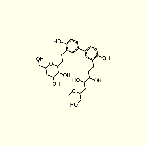 COC(CO)CC(O)C(O)CCc1cc(-c2ccc(O)c(CCC3OC(CO)CC(O)C3O)c2)ccc1O